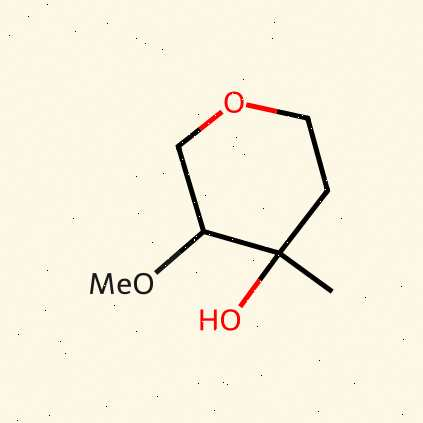 COC1COCCC1(C)O